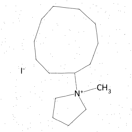 C[N+]1(C2CCCCCCCCC2)CCCC1.[I-]